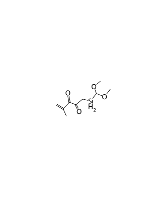 C=C(C)C(=O)C(=O)C[SiH2]C(OC)OC